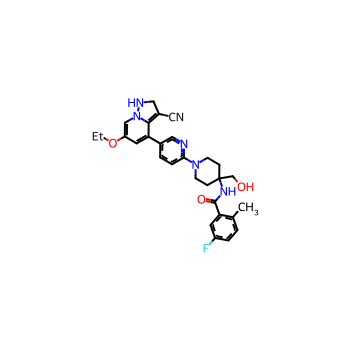 CCOC1=CN2NCC(C#N)=C2C(c2ccc(N3CCC(CO)(NC(=O)c4cc(F)ccc4C)CC3)nc2)=C1